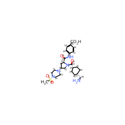 CS(=O)(=O)N1CCN([C@H]2C[C@@H](C(=O)Nc3ccc(C(=O)O)cc3)N(C(=O)[C@H]3CC[C@@H](CN)CC3)C2)CC1